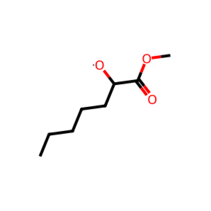 CCCCCC([O])C(=O)OC